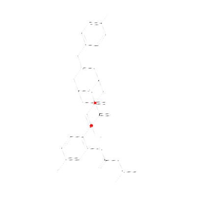 CN(C)CC(=O)Nc1cc(Cl)ccc1/C=C/C(=O)N1C2CN(Cc3ccc(F)cc3)CC1CN(C(=O)OC(C)(C)C)C2